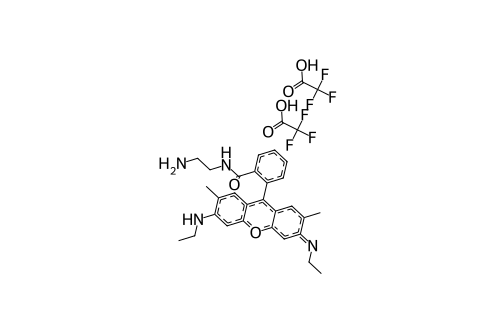 CCN=c1cc2oc3cc(NCC)c(C)cc3c(-c3ccccc3C(=O)NCCN)c-2cc1C.O=C(O)C(F)(F)F.O=C(O)C(F)(F)F